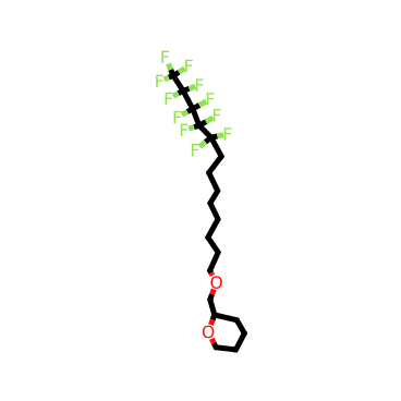 FC(F)(F)C(F)(F)C(F)(F)C(F)(F)C(F)(F)CCCCCCCCOCC1CCCCO1